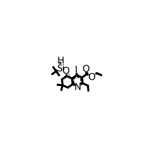 CCOC(=O)c1c(CC)nc2c(c1I)[C@@H](O[SiH](C)C(C)(C)C)CC(C)(C)C2